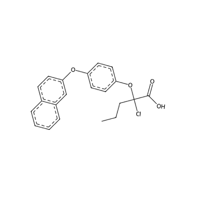 CCCC(Cl)(Oc1ccc(Oc2ccc3ccccc3c2)cc1)C(=O)O